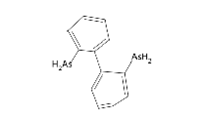 [AsH2]c1ccccc1-c1ccccc1[AsH2]